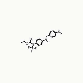 CCOC(=O)N(c1ccc(N(C)Cc2ccc(SC)cc2)cc1)C(F)(F)F